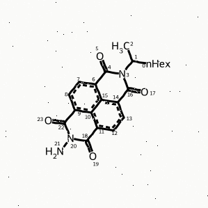 CCCCCCC(C)N1C(=O)c2ccc3c4c(ccc(c24)C1=O)C(=O)N(N)C3=O